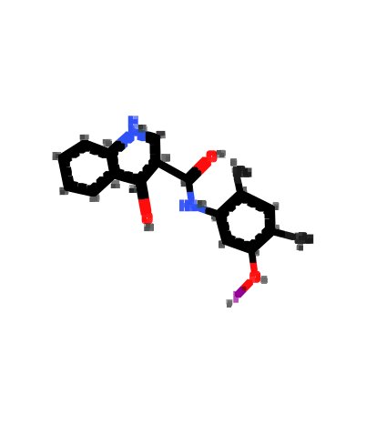 CC(C)(C)c1cc(C(C)(C)C)c(OI)cc1NC(=O)c1c[nH]c2ccccc2c1=O